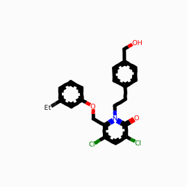 CCc1cccc(OCc2c(Cl)cc(Cl)c(=O)n2CCc2ccc(CO)cc2)c1